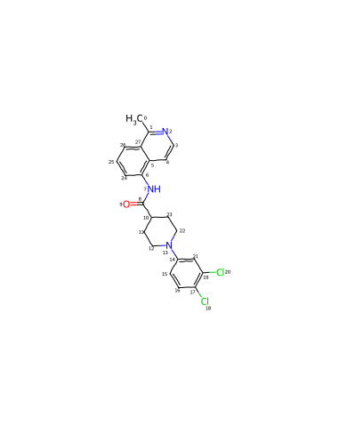 Cc1nccc2c(NC(=O)C3CCN(c4ccc(Cl)c(Cl)c4)CC3)cccc12